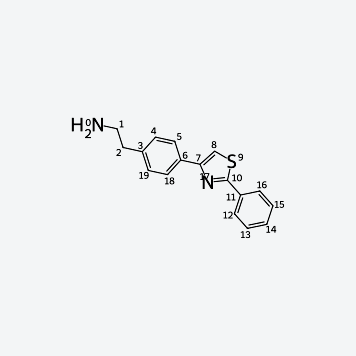 NCCc1ccc(-c2csc(-c3ccccc3)n2)cc1